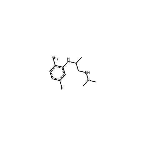 CC(CNN(C)C)Nc1cc(F)ccc1N